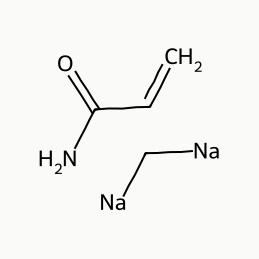 C=CC(N)=O.[Na][CH2][Na]